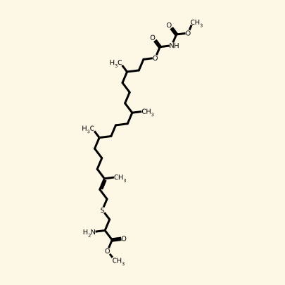 COC(=O)NC(=O)OCCC(C)CCCC(C)CCCC(C)CCC/C(C)=C/CSCC(N)C(=O)OC